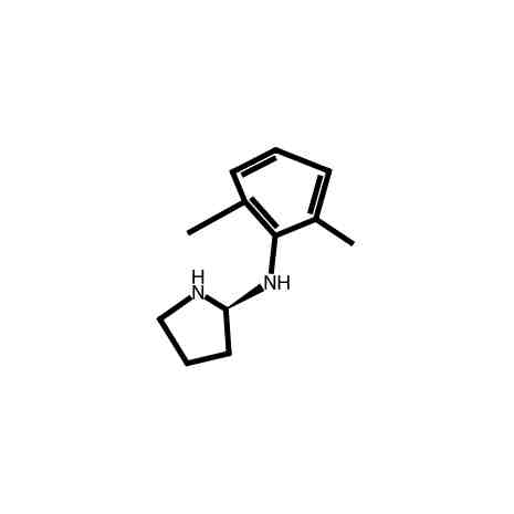 Cc1cccc(C)c1N[C@H]1CCCN1